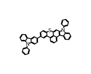 c1ccc(-n2c3ccccc3c3cc(-c4ccc5c(c4)-c4cccc6c4c(cc4c6c6ccccc6n4-c4ccccc4)S5)ccc32)cc1